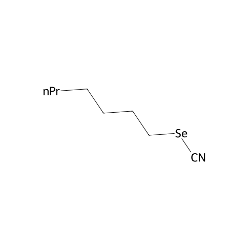 CCCCCCC[Se]C#N